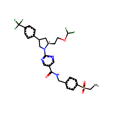 CCS(=O)(=O)c1ccc(CNC(=O)c2cnc(N3CC(c4ccc(C(F)(F)F)cc4)C[C@H]3CCOC(F)F)nc2)cc1